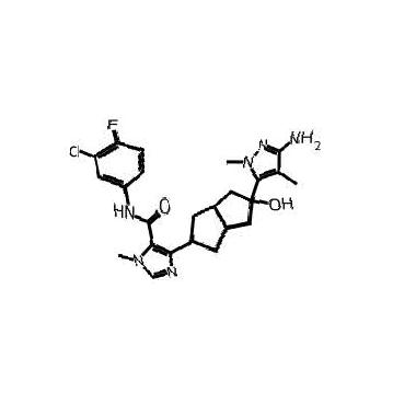 Cc1c(N)nn(C)c1C1(O)CC2CC(c3ncn(C)c3C(=O)Nc3ccc(F)c(Cl)c3)CC2C1